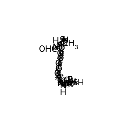 Cc1ncsc1-c1ccc(CNC=O)c(OCCOCCOCCOCCOCCOc2ccc(-c3cnc4[nH]cc(C(=O)c5c(F)ccc(NS)c5F)c4c3)cc2)c1